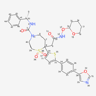 C[C@H](NC(=O)N1CCC(CC(=O)NOC2CCCCO2)(c2ccc(-c3ccc(-c4cnco4)cc3)s2)S(=O)(=O)CC1)c1ccccc1